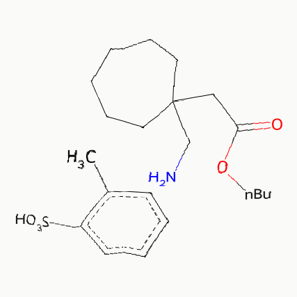 CCCCOC(=O)CC1(CN)CCCCCC1.Cc1ccccc1S(=O)(=O)O